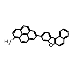 Cc1ccc2ccc3cc(-c4ccc5c(c4)oc4ccc6ccccc6c45)cc4ccc1c2c34